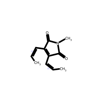 C/C=C\C1=C(/C=C\C)C(=O)N(C)C1=O